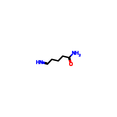 N=CCCCC(N)=O